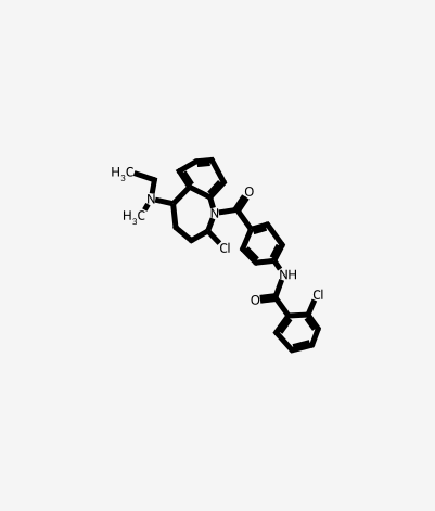 CCN(C)C1CCC(Cl)N(C(=O)c2ccc(NC(=O)c3ccccc3Cl)cc2)c2ccccc21